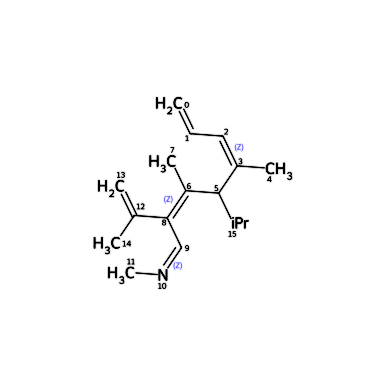 C=C/C=C(/C)C(/C(C)=C(\C=N/C)C(=C)C)C(C)C